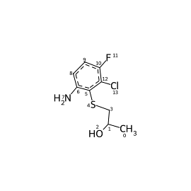 CC(O)CSc1c(N)ccc(F)c1Cl